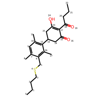 CCCCSCc1c(C)cc(C)c(C2CC(=O)C(C(=O)CCC)=C(O)C2)c1C